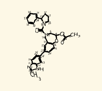 CC(=O)OC1CN(C(=O)N2CCCC2c2ccccc2)Cc2cc(-c3ccc4nc(C)[nH]c4c3)ccc2O1